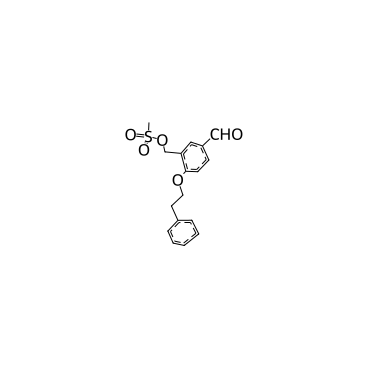 CS(=O)(=O)OCc1cc(C=O)ccc1OCCc1ccccc1